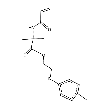 C=CC(=O)NC(C)(C)C(=O)OCCNc1ccc(C)cc1